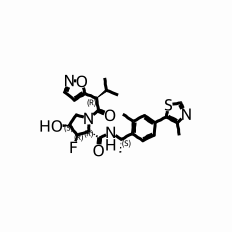 Cc1cc(-c2scnc2C)ccc1[C@H](C)NC(=O)[C@@H]1[C@@H](F)[C@@H](O)CN1C(=O)[C@@H](c1ccno1)C(C)C